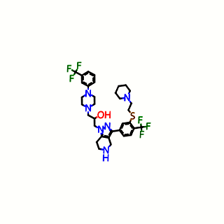 OC(CN1CCN(c2cccc(C(F)(F)F)c2)CC1)Cn1nc(-c2ccc(C(F)(F)F)c(SCCN3CCCCC3)c2)c2c1CCNC2